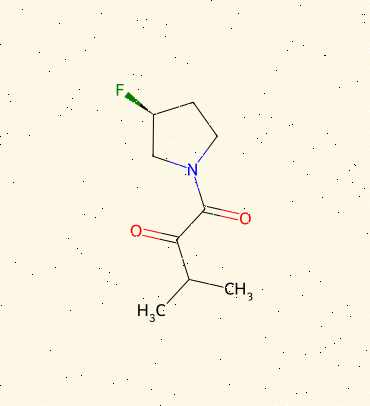 CC(C)C(=O)C(=O)N1CC[C@H](F)C1